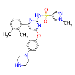 Cc1cccc(-c2cc(Oc3ccc(N4CCNCC4)cc3)nc(NS(=O)(=O)c3cnn(C)c3)n2)c1C